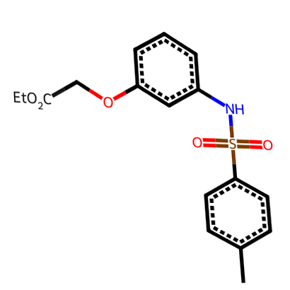 CCOC(=O)COc1cccc(NS(=O)(=O)c2ccc(C)cc2)c1